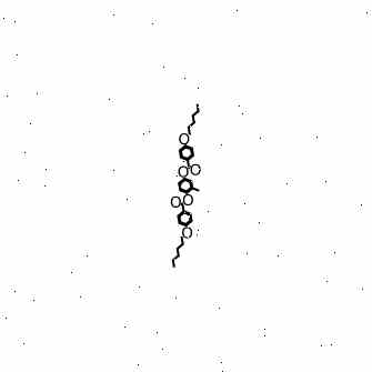 CCCCCCOc1ccc(C(=O)Oc2ccc(OC(=O)c3ccc(OCCCCCC)cc3)c(C)c2)cc1